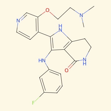 CN(C)CCOc1cnccc1-c1[nH]c2c(c1Nc1cccc(F)c1)C(=O)NCC2